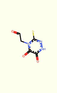 O=CCn1c([S])n[nH]c(=O)c1=O